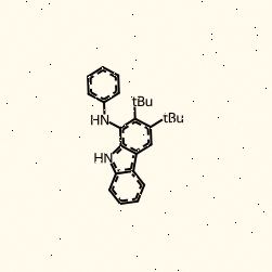 CC(C)(C)c1cc2c([nH]c3ccccc32)c(Nc2ccccc2)c1C(C)(C)C